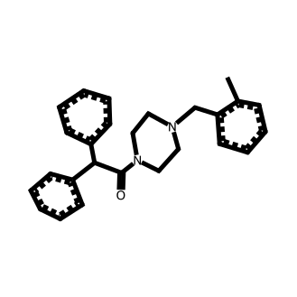 Cc1ccccc1CN1CCN(C(=O)C(c2ccccc2)c2ccccc2)CC1